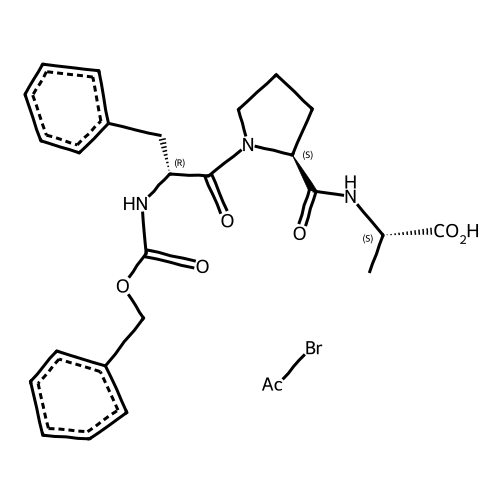 CC(=O)Br.C[C@H](NC(=O)[C@@H]1CCCN1C(=O)[C@@H](Cc1ccccc1)NC(=O)OCc1ccccc1)C(=O)O